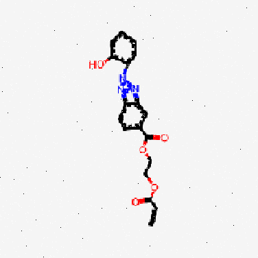 C=CC(=O)OCCOC(=O)c1ccc2c(c1)n1n(-c3ccccc3O)n21